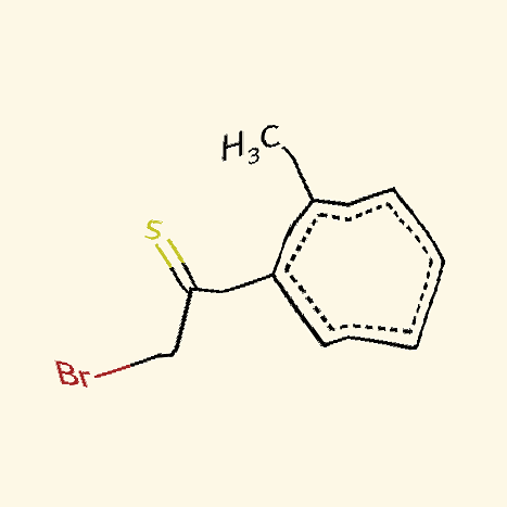 Cc1ccccc1C(=S)CBr